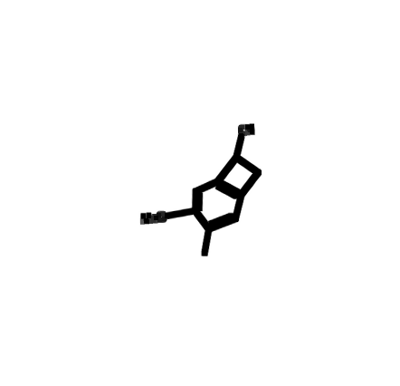 COc1cc2c(cc1C)CC2C#N